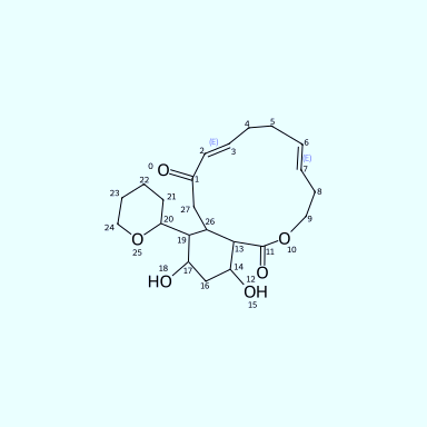 O=C1/C=C/CC/C=C/CCOC(=O)C2C(O)CC(O)C(C3CCCCO3)C2C1